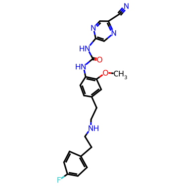 COc1cc(CCNCCc2ccc(F)cc2)ccc1NC(=O)Nc1cnc(C#N)cn1